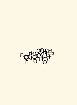 CN1C(=O)c2c(O)c(=O)c(C(=O)NCc3c(F)cc(F)cc3F)cn2[C@H]2COCC[C@H]2[C@H]1C(F)F